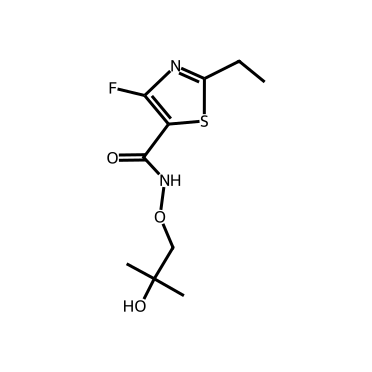 CCc1nc(F)c(C(=O)NOCC(C)(C)O)s1